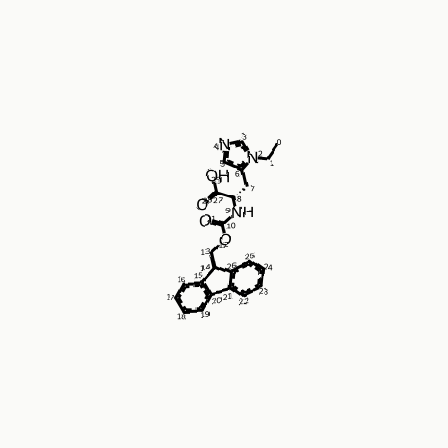 CCn1cncc1C[C@H](NC(=O)OCC1c2ccccc2-c2ccccc21)C(=O)O